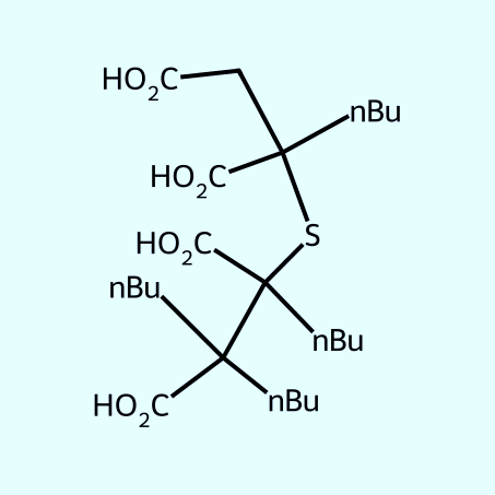 CCCCC(CC(=O)O)(SC(CCCC)(C(=O)O)C(CCCC)(CCCC)C(=O)O)C(=O)O